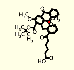 COc1cccc(C(=O)CCCCC(=O)O)c1Cc1c(C(=O)OC(C)(C)C)c(OC)cc2c1C(=O)c1ccccc1C2=O